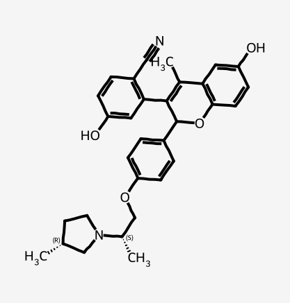 CC1=C(c2cc(O)ccc2C#N)C(c2ccc(OC[C@H](C)N3CC[C@@H](C)C3)cc2)Oc2ccc(O)cc21